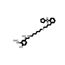 O=CNc1cc([C@@H](O)CNCCCCCCOCCCCc2ccccc2S(=O)(=O)C2CCCC2)ccc1O